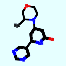 CC1COCCN1c1cc(-c2cncnc2)[nH]c(=O)c1